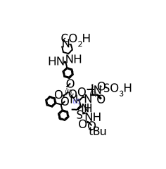 Cc1sc(NC(=O)OC(C)(C)C)nc1/C(=N/O[C@@H](COc1ccc(C(=N)NC2CCN(C(=O)O)CC2)cc1)C(=O)OC(c1ccccc1)c1ccccc1)C(=O)N[C@@H]1C(=O)N(OS(=O)(=O)O)C1(C)C